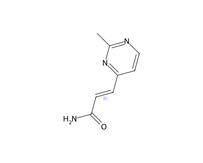 Cc1nccc(/C=C/C(N)=O)n1